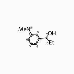 CCC(O)c1cccc(NC)c1